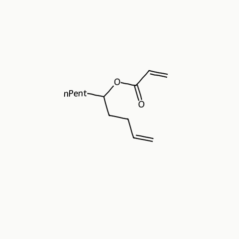 C=CCCC(CCCCC)OC(=O)C=C